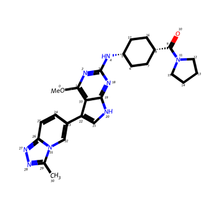 COc1nc(N[C@H]2CC[C@@H](C(=O)N3CCCC3)CC2)nc2[nH]cc(-c3ccc4nnc(C)n4c3)c12